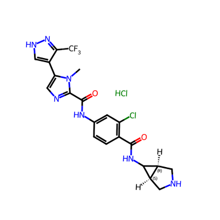 Cl.Cn1c(-c2c[nH]nc2C(F)(F)F)cnc1C(=O)Nc1ccc(C(=O)NC2[C@H]3CNC[C@@H]23)c(Cl)c1